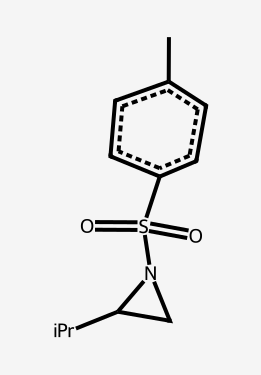 Cc1ccc(S(=O)(=O)N2CC2C(C)C)cc1